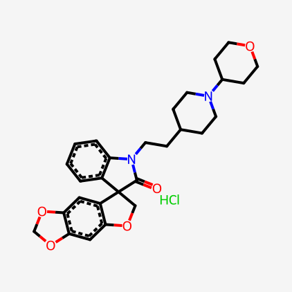 Cl.O=C1N(CCC2CCN(C3CCOCC3)CC2)c2ccccc2C12COc1cc3c(cc12)OCO3